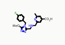 COc1nnc(CNCc2cc(C(=O)O)cc(C)n2)n1Cc1ccc(F)cc1